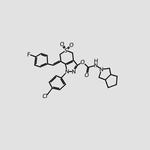 O=C(NN1CC2CCCC2C1)Oc1nn(-c2ccc(Cl)cc2)c2c1CS(=O)(=O)C/C2=C\c1ccc(F)cc1